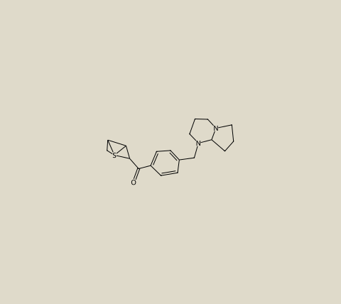 O=C(c1ccc(CN2CCCN3CCCC32)cc1)C1C2C3CS312